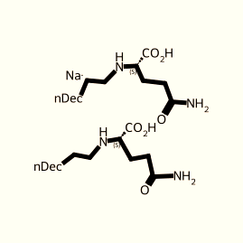 CCCCCCCCCCCCN[C@@H](CCC(N)=O)C(=O)O.CCCCCCCCCCCCN[C@@H](CCC(N)=O)C(=O)O.[Na]